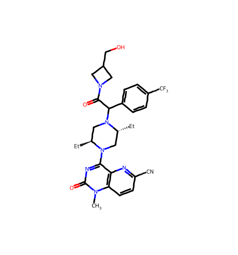 CC[C@H]1CN(C(C(=O)N2CC(CO)C2)c2ccc(C(F)(F)F)cc2)[C@H](CC)CN1c1nc(=O)n(C)c2ccc(C#N)nc12